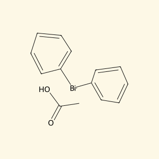 CC(=O)O.c1cc[c]([Bi][c]2ccccc2)cc1